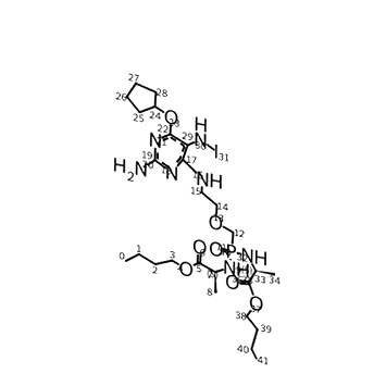 CCCCOC(=O)[C@H](C)NP(=O)(COCCNc1nc(N)nc(OC2CCCC2)c1NI)N[C@@H](C)C(=O)OCCCC